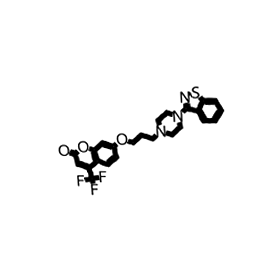 O=c1cc(C(F)(F)F)c2ccc(OCCCN3CCN(c4nsc5ccccc45)CC3)cc2o1